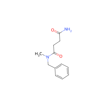 CN(Cc1ccccc1)C(=O)CCC(N)=O